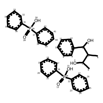 CC(O)C(C)C(O)c1ccccc1.O=P(O)(c1ccccc1)c1ccccc1.O=P(O)(c1ccccc1)c1ccccc1